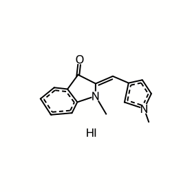 CN1C(=Cc2ccn(C)c2)C(=O)c2ccccc21.I